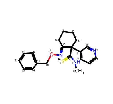 CNC(=S)C1(c2cccnc2)CCCCC1=NOCc1ccccc1